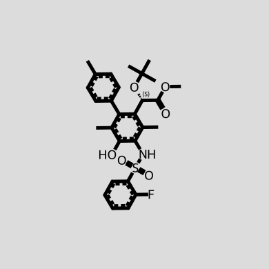 COC(=O)[C@@H](OC(C)(C)C)c1c(C)c(NS(=O)(=O)c2ccccc2F)c(O)c(C)c1-c1ccc(C)cc1